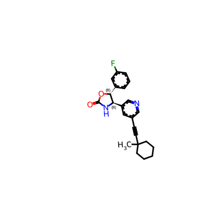 CC1(C#Cc2cncc([C@H]3NC(=O)O[C@@H]3c3cccc(F)c3)c2)CCCCC1